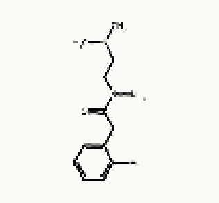 CC(=O)c1ccccc1CC(=O)N(N)CCN(C)C